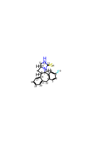 Fc1ccc2c(c1)[C@@H]1[C@H](C[C@H]3CNC(=S)N31)c1ccccc1C2